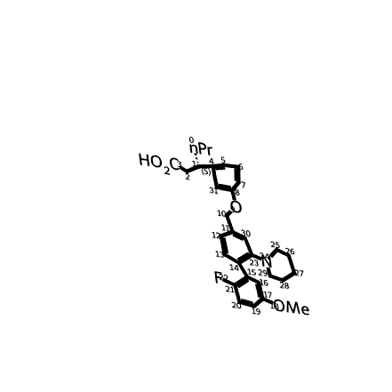 CCC[C@@H](CC(=O)O)c1cccc(OCc2ccc(-c3cc(OC)ccc3F)c(N3CCCCC3)c2)c1